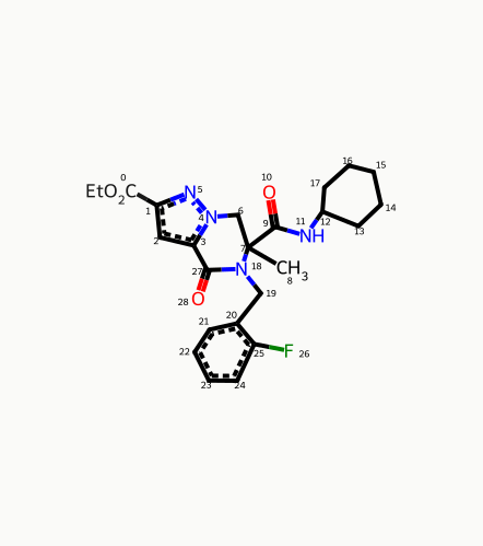 CCOC(=O)c1cc2n(n1)CC(C)(C(=O)NC1CCCCC1)N(Cc1ccccc1F)C2=O